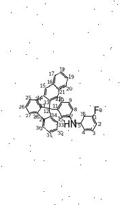 FC1=CC=CC(Nc2cccc(C3(c4ccc5ccccc5c4)c4ccccc4-c4ccccc43)c2)C1